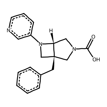 O=C(O)N1C[C@H]2N(c3cccnc3)C[C@@]2(Cc2ccccc2)C1